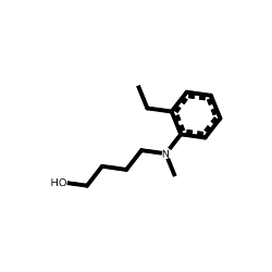 CCc1ccccc1N(C)CCCCO